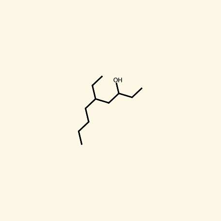 CCCCC(CC)CC(O)CC